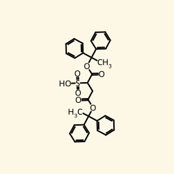 CC(OC(=O)CC(C(=O)OC(C)(c1ccccc1)c1ccccc1)S(=O)(=O)O)(c1ccccc1)c1ccccc1